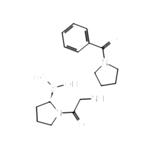 O=C(c1ccccc1)N1CC[C@H](NCC(=O)N2CCC[C@H]2B(O)O)C1